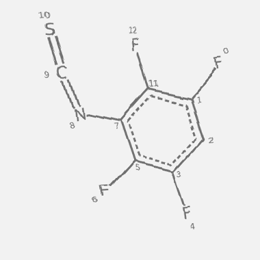 Fc1cc(F)c(F)c(N=C=S)c1F